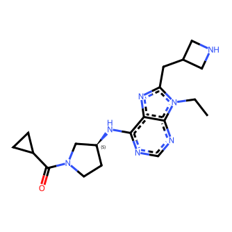 CCn1c(CC2CNC2)nc2c(N[C@H]3CCN(C(=O)C4CC4)C3)ncnc21